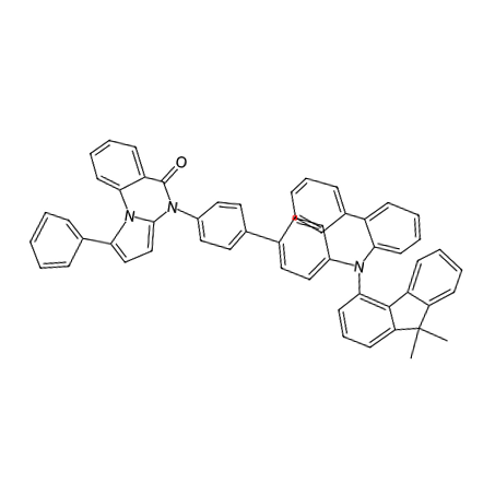 CC1(C)c2ccccc2-c2c(N(c3ccc(-c4ccc(-n5c(=O)c6ccccc6n6c(-c7ccccc7)ccc56)cc4)cc3)c3ccccc3-c3ccccc3)cccc21